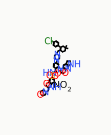 CC1(C)CCC(CN2CCN(c3ccc(C(=O)NS(=O)(=O)c4cc5c(c([N+](=O)[O-])c4)NC(CN4CCOCC4)CO5)c(N4CCOc5nc6[nH]ccc6cc54)c3)CC2)=C(c2ccc(Cl)cc2)C1